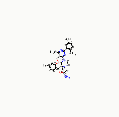 Cc1ccc(C)c(-c2nc(C)c(COc3cc(C(C)C)ccc3C)c(N3CCN(CC(N)=O)CC3)n2)c1